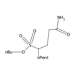 CCCCCC(CCC(N)=O)S(=O)(=O)OCCCC